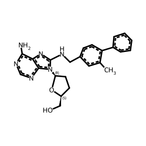 Cc1cc(CNc2nc3c(N)ncnc3n2[C@H]2CC[C@@H](CO)O2)ccc1-c1ccccc1